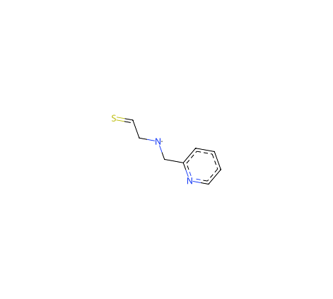 S=CC[N]Cc1ccccn1